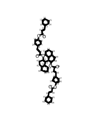 O=C(/C=C/c1ccc(OC(=O)/C=C/c2ccccc2)cc1)OC1=C(c2c(OC(=O)/C=C/c3ccc(OC(=O)/C=C/c4ccccc4)cc3)ccc3ccccc23)c2ccccc2CC1